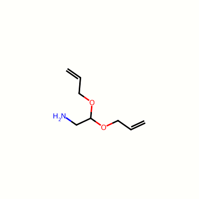 C=CCOC(CN)OCC=C